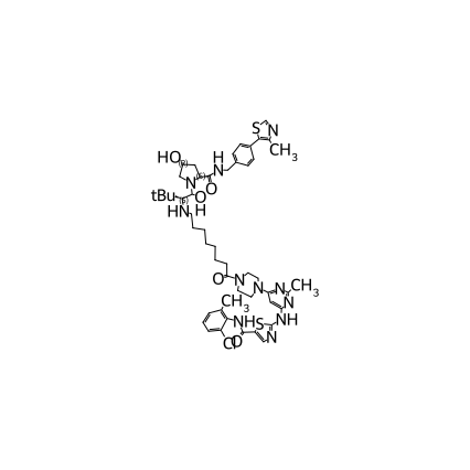 Cc1nc(Nc2ncc(C(=O)Nc3c(C)cccc3Cl)s2)cc(N2CCN(C(=O)CCCCCCCN[C@H](C(O)N3C[C@H](O)C[C@H]3C(=O)NCc3ccc(-c4scnc4C)cc3)C(C)(C)C)CC2)n1